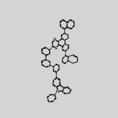 C1=Cc2c(cccc2-c2ccc3c4ccc(-c5cccc6ccccc56)cc4c4ncc(-c5cccc(-c6cccc(-c7cccc(-c8ccc9c(c8)c8ccccc8n9-c8ccccc8)c7)c6)c5)nc4c3c2)CC1